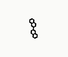 [c]1ccc2ccc(-c3ccc4ccccc4c3)cc2c1